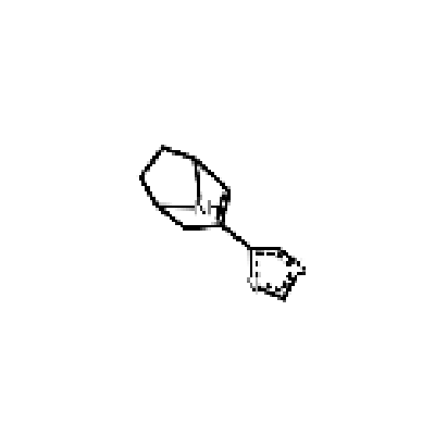 C1=C(c2cscn2)CC2CCC1N2